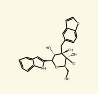 OC[C@H]1O[C@@H](c2cc3ccccc3[nH]2)[C@H](O)[C@](O)(Cc2ccc3occc3c2)[C@@]1(O)Cl